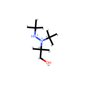 CC(C)(C)NN(C(C)(C)C)C(C)(C)CO